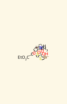 CCOC(=O)CCCOc1cccc(C[N+]2(C)[C@@H]3CC[C@H]2C[C@H](OC(=O)C(O)(c2cccs2)c2cccs2)C3)c1.[Br-]